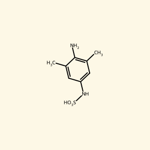 Cc1cc(NS(=O)(=O)O)cc(C)c1N